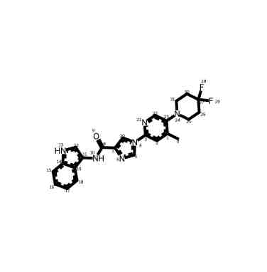 Cc1cc(-n2cnc(C(=O)Nc3c[nH]c4ccccc34)c2)ncc1N1CCC(F)(F)CC1